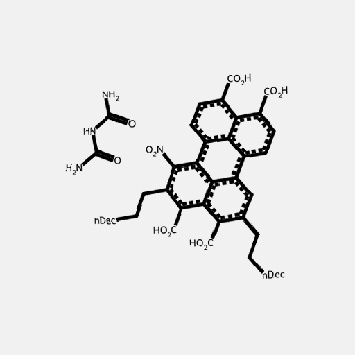 CCCCCCCCCCCCc1cc2c3ccc(C(=O)O)c4c(C(=O)O)ccc(c5c([N+](=O)[O-])c(CCCCCCCCCCCC)c(C(=O)O)c(c1C(=O)O)c25)c43.NC(=O)NC(N)=O